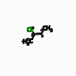 [CH2]C(Cl)=CC